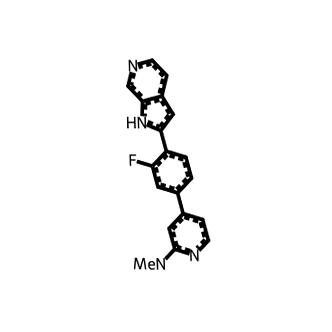 CNc1cc(-c2ccc(-c3cc4ccncc4[nH]3)c(F)c2)ccn1